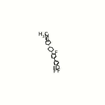 CCC[SiH]1CCC([C@H]2CC[C@H](c3ccc(-c4ccc(OC(F)(F)F)cc4)cc3F)CC2)CC1